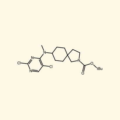 CN(c1nc(Cl)ncc1Cl)C1CCC2(CC1)CCN(C(=O)OC(C)(C)C)C2